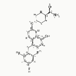 NC(=O)[C@H]1CC[C@H](Oc2ccc3c(c2)c(=O)ncn3Cc2c(F)cc(F)cc2F)CC1